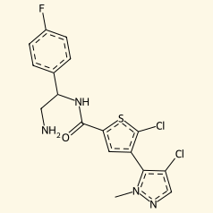 Cn1ncc(Cl)c1-c1cc(C(=O)NC(CN)c2ccc(F)cc2)sc1Cl